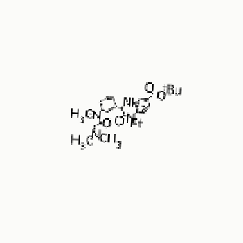 CCN(C(=O)[C@@H](N)c1cccc(N(C)C(=O)CN(C)C)c1)c1ccc(C(=O)OC(C)(C)C)cc1